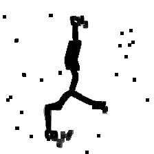 CC#CC(N)CC(=O)O